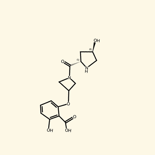 O=C(O)c1c(O)cccc1OC1CN(C(=O)[C@@H]2C[C@@H](O)CN2)C1